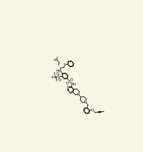 CC#CCOc1ccccc1CN1CCC(N2CCc3c(ncnc3NS(=O)(=O)c3ccc(N[C@H](CCN(C)C)CSc4ccccc4)c(S(=O)(=O)C(F)(F)F)c3)C2)CC1